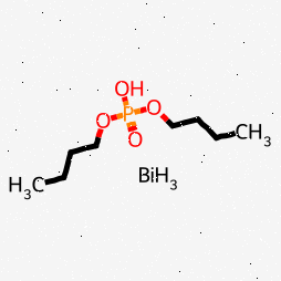 CCCCOP(=O)(O)OCCCC.[BiH3]